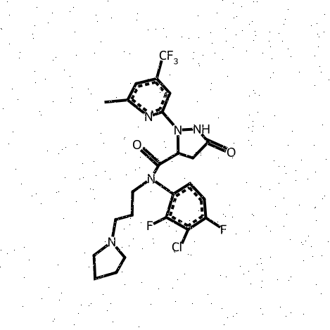 Cc1cc(C(F)(F)F)cc(N2NC(=O)CC2C(=O)N(CCCN2CCCC2)c2ccc(F)c(Cl)c2F)n1